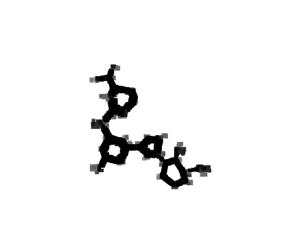 Cc1cc(Nc2nccc(C(F)F)n2)cc(-c2cnn([C@H]3CCC[C@@H](O)[C@H]3O)c2)c1